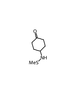 CSNC1CCC(=O)CC1